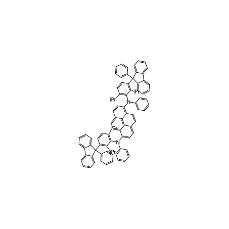 CC(C)c1ccc(C2(c3ccccc3)c3ccccc3-c3ccccc32)c(C(C)C)c1N(c1ccccc1)c1ccc2ccc3c(N(c4ccccc4)c4c(C(C)C)ccc(C5(c6ccccc6)c6ccccc6-c6ccccc65)c4C(C)C)ccc4ccc1c2c43